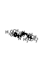 CC(C)[S+]([O-])c1ccc(-c2cncc(-c3nnc(CCNC(=O)OC(C)(C)C)o3)n2)cc1